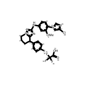 COc1cc(Nc2nc3n(n2)CCCC3c2ccc(F)cc2)ccc1-n1cnc(Cl)c1.O=C(O)C(F)(F)F